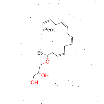 CCCCC/C=C\C/C=C\C/C=C\C/C=C\CC(CC)OCC(O)CO